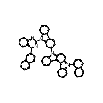 c1ccc2cc(-c3nc(-n4c5ccccc5c5ccc(-n6c7ccccc7c7c8c9ccccc9n(-c9cccc%10ccccc9%10)c8ccc76)cc54)nc4ccccc34)ccc2c1